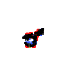 C/C=C1\C[C@H]2C=Nc3cc(OCc4cc(OCCN5CCN(C(=O)NCC(C)(C)SCC(=O)NCC)CC5)cc(COc5cc6c(cc5OC)C(=O)N5C/C(=C/C)C[C@H]5C=N6)n4)c(OC)cc3C(=O)N2C1